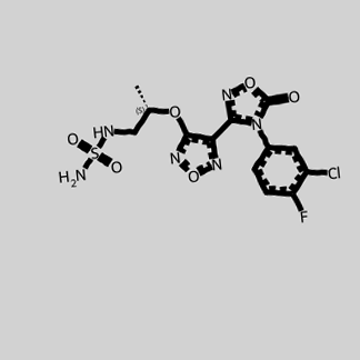 C[C@@H](CNS(N)(=O)=O)Oc1nonc1-c1noc(=O)n1-c1ccc(F)c(Cl)c1